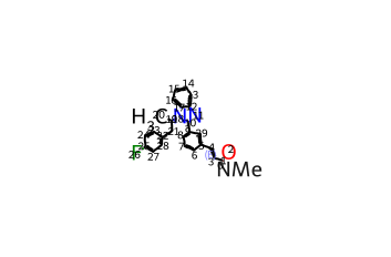 CNC(=O)/C=C/c1cccc(-c2nc3ccccc3n2C(C)Cc2ccc(F)cc2)c1